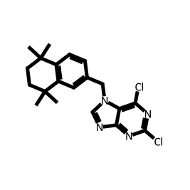 CC1(C)CCC(C)(C)c2cc(Cn3cnc4nc(Cl)nc(Cl)c43)ccc21